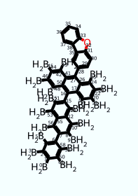 Bc1c(B)c(B)c(-c2c(B)c(B)c3c(B)c(-c4c5c(B)c(B)c(B)c(B)c5c(-c5ccc6oc7ccccc7c6c5)c5c(B)c(B)c(B)c(B)c45)c(B)c(B)c3c2B)c(B)c1B